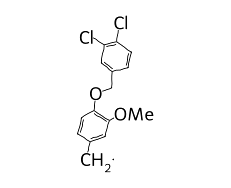 [CH2]c1ccc(OCc2ccc(Cl)c(Cl)c2)c(OC)c1